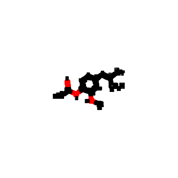 CCCCC(=O)Oc1ccc(C=C(CCC)C(=O)O)cc1OCC